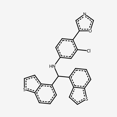 Clc1cc(NC(c2cccc3sccc23)c2cccc3sccc23)ccc1-c1cnco1